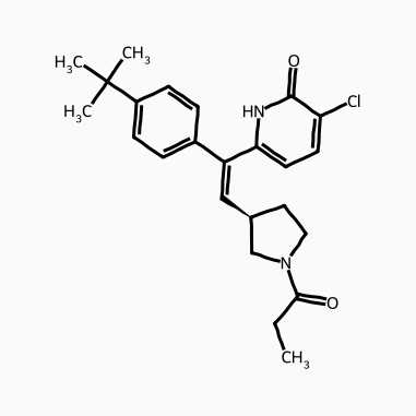 CCC(=O)N1CC[C@H](C=C(c2ccc(C(C)(C)C)cc2)c2ccc(Cl)c(=O)[nH]2)C1